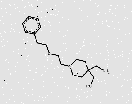 NCC1(CO)CCN(CCOCCc2ccccc2)CC1